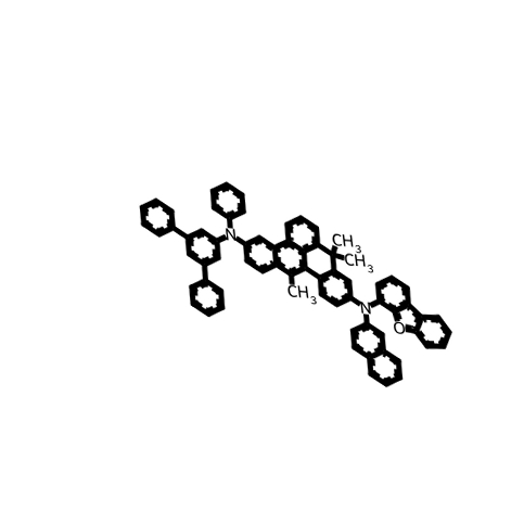 Cc1c2c3c(cccc3c3cc(N(c4ccccc4)c4cc(-c5ccccc5)cc(-c5ccccc5)c4)ccc13)C(C)(C)c1cc(N(c3ccc4ccccc4c3)c3cccc4c3oc3ccccc34)ccc1-2